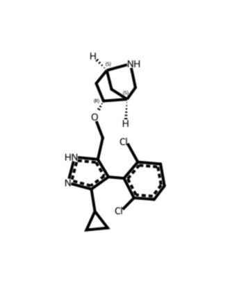 Clc1cccc(Cl)c1-c1c(C2CC2)n[nH]c1CO[C@@H]1C[C@@H]2C[C@H]1CN2